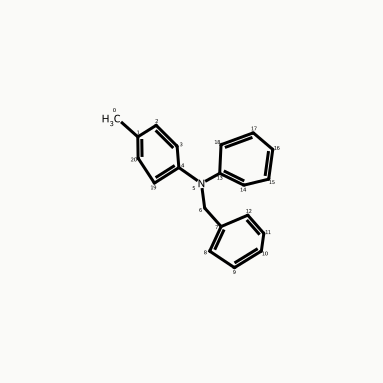 Cc1ccc(N(Cc2ccccc2)c2ccccc2)cc1